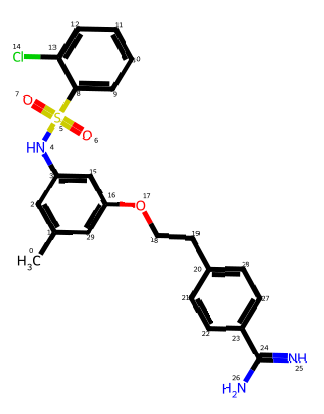 Cc1cc(NS(=O)(=O)c2ccccc2Cl)cc(OCCc2ccc(C(=N)N)cc2)c1